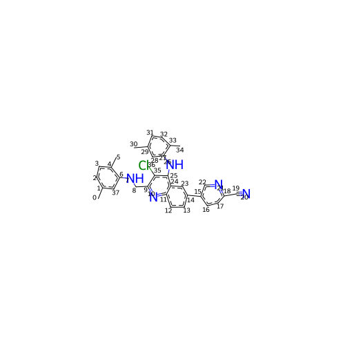 Cc1ccc(C)c(NCc2nc3ccc(-c4ccc(C#N)nc4)cc3c(Nc3cc(C)ccc3C)c2Cl)c1